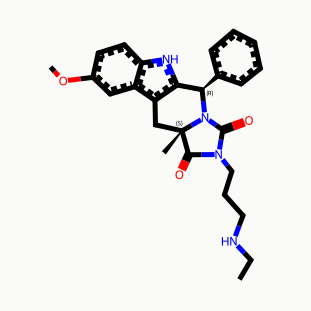 CCNCCCN1C(=O)N2[C@H](c3ccccc3)c3[nH]c4ccc(OC)cc4c3C[C@@]2(C)C1=O